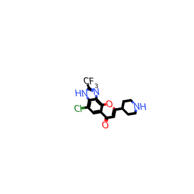 O=c1cc(C2CCNCC2)oc2c1cc(Cl)c1[nH]c(C(F)(F)F)nc12